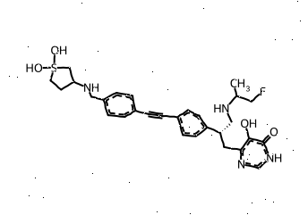 CC(CF)NC[C@H](Cc1nc[nH]c(=O)c1O)c1ccc(C#Cc2ccc(CNC3CCS(O)(O)C3)cc2)cc1